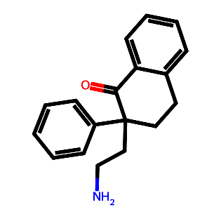 NCCC1(c2ccccc2)CCc2ccccc2C1=O